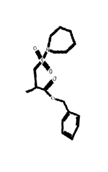 CC(CS(=O)(=O)N1CCCCC1)C(=O)OCc1ccccc1